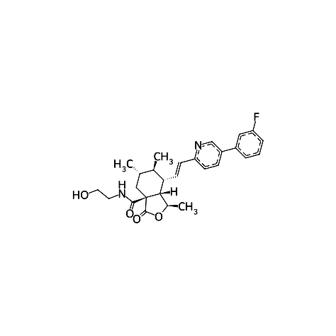 C[C@H]1[C@H](/C=C/c2ccc(-c3cccc(F)c3)cn2)[C@@H]2[C@@H](C)OC(=O)[C@]2(C(=O)NCCO)C[C@@H]1C